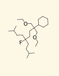 CCOCC(CCC(F)(CCC(C)C)CCC(C)C)(COCC)C1CCCCC1